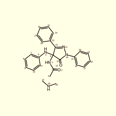 CC(=O)NC1(Nc2ccccc2)C(=O)N(c2ccccc2)N=C1c1ccccc1.CNC